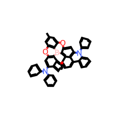 Cc1cc2c3c(c1)Oc1cc4c5c(cccc5c1B3c1c(cc(N(c3ccccc3)c3ccccc3)c3ccccc13)O2)-c1ccccc1N4c1ccccc1